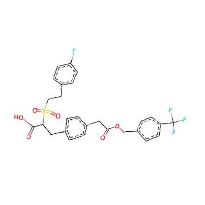 O=C(Cc1ccc(CC(C(=O)O)S(=O)(=O)CCc2ccc(F)cc2)cc1)OCc1ccc(C(F)(F)F)cc1